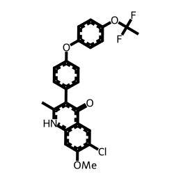 COc1cc2[nH]c(C)c(-c3ccc(Oc4ccc(OC(C)(F)F)cc4)cc3)c(=O)c2cc1Cl